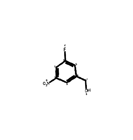 O=[N+]([O-])c1cc(F)cc(CO)c1